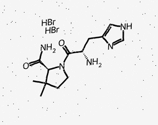 Br.Br.CC1(C)CCN(C(=O)[C@@H](N)Cc2c[nH]cn2)[C@@H]1C(N)=O